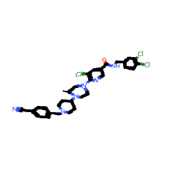 C[C@H]1CN(c2ncc(C(=O)NCc3ccc(Cl)c(Cl)c3)cc2Cl)CCN1C1CCN(Cc2ccc(C#N)cc2)CC1